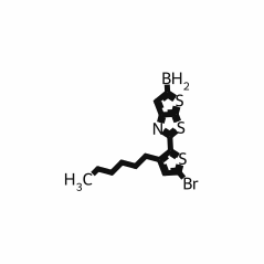 Bc1cc2nc(-c3sc(Br)cc3CCCCCC)sc2s1